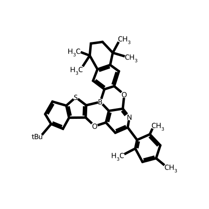 Cc1cc(C)c(-c2cc3c4c(n2)Oc2cc5c(cc2B4c2sc4ccc(C(C)(C)C)cc4c2O3)C(C)(C)CCC5(C)C)c(C)c1